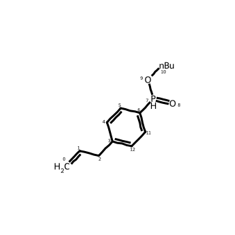 C=CCc1ccc([PH](=O)OCCCC)cc1